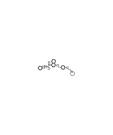 O=C(NCc1ccccc1)Nc1ccc(OCc2ccc(OCCN3CCCCC3)cc2)c2ccccc12